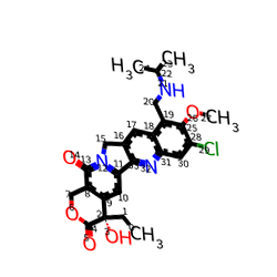 CC[C@@]1(O)C(=O)OCc2c1cc1n(c2=O)Cc2cc3c(CNC(C)C)c(OC)c(Cl)cc3nc2-1